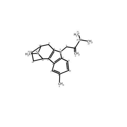 C=C(Cn1c2c(c3cc(C)ccc31)C1CCC(C2)N1C)N(C)C